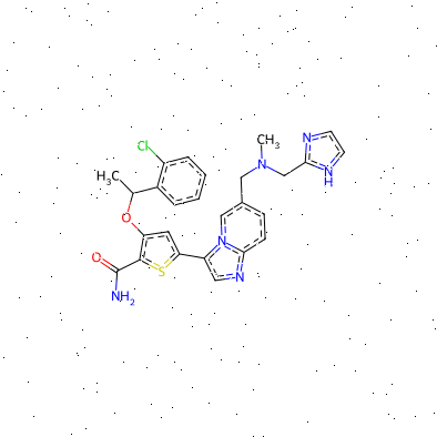 CC(Oc1cc(-c2cnc3ccc(CN(C)Cc4ncc[nH]4)cn23)sc1C(N)=O)c1ccccc1Cl